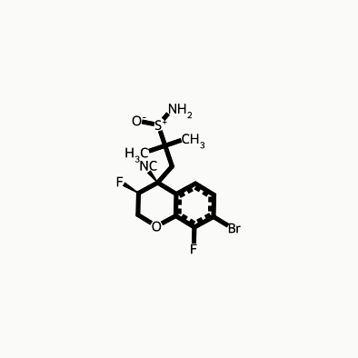 CC(C)(C[C@]1(C#N)c2ccc(Br)c(F)c2OC[C@H]1F)[S+](N)[O-]